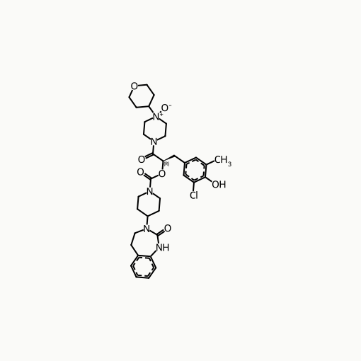 Cc1cc(C[C@@H](OC(=O)N2CCC(N3CCc4ccccc4NC3=O)CC2)C(=O)N2CC[N+]([O-])(C3CCOCC3)CC2)cc(Cl)c1O